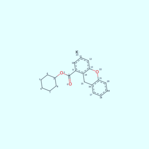 O=C(OC1CCCCC1)c1cccc2c1Cc1ccccc1O2.[K]